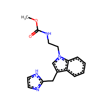 COC(=O)NCCn1cc(Cc2ncc[nH]2)c2ccccc21